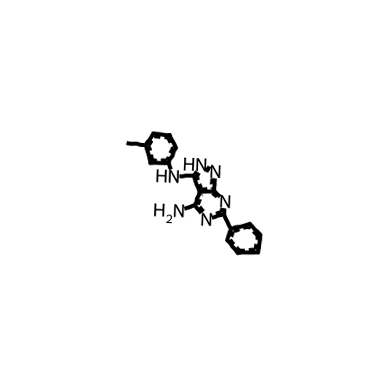 Cc1cccc(Nc2[nH]nc3nc(-c4ccccc4)nc(N)c23)c1